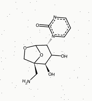 NC[C@@]12COC(O1)[C@H](n1cccnc1=O)C(O)[C@H]2O